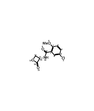 COc1ccc(Cl)cc1C(=O)N[C@H]1COC1=O